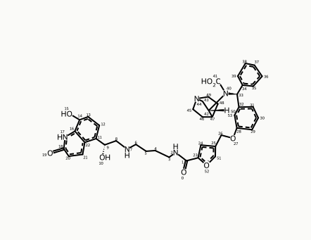 O=C(NCCCCNC[C@H](O)c1ccc(O)c2[nH]c(=O)ccc12)c1cc(COc2cccc([C@H](c3ccccc3)N(C(=O)O)[C@H]3CN4CCC3CC4)c2)co1